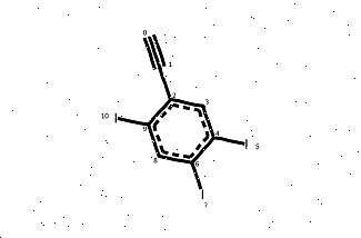 [C]#Cc1cc(I)c(I)cc1I